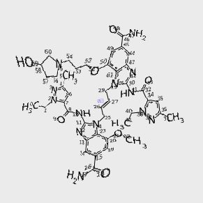 CCn1nc(C)cc1C(=O)Nc1nc2cc(C(N)=O)cc(OC)c2n1C/C=C/Cn1c(NC(=O)c2cc(C)nn2CC)nc2cc(C(N)=O)cc(OCCCN3CCC(O)C3)c21